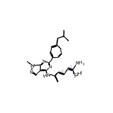 C=C(/C=C/C=C(/N)S)Nc1nc(C2=CC=C(CC(C)C)CC=C2)nc2c1cnn2C